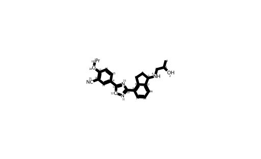 CC(O)CNC1CCc2c(-c3noc(-c4ccc(OC(C)C)c(C#N)c4)n3)cccc21